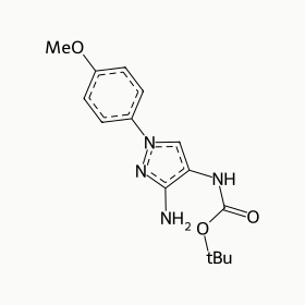 COc1ccc(-n2cc(NC(=O)OC(C)(C)C)c(N)n2)cc1